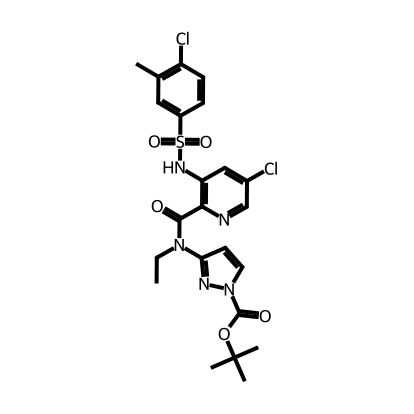 CCN(C(=O)c1ncc(Cl)cc1NS(=O)(=O)c1ccc(Cl)c(C)c1)c1ccn(C(=O)OC(C)(C)C)n1